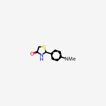 CNc1ccc(C2NC(=O)CS2)cc1